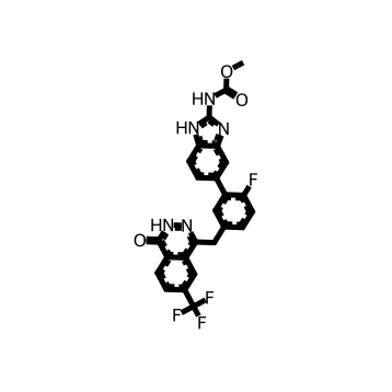 COC(=O)Nc1nc2cc(-c3cc(Cc4n[nH]c(=O)c5ccc(C(F)(F)F)cc45)ccc3F)ccc2[nH]1